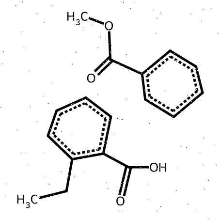 CCc1ccccc1C(=O)O.COC(=O)c1ccccc1